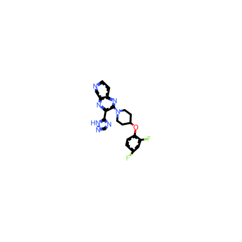 Fc1ccc(OC2CCN(c3nc4ccncc4nc3-c3ncn[nH]3)CC2)c(F)c1